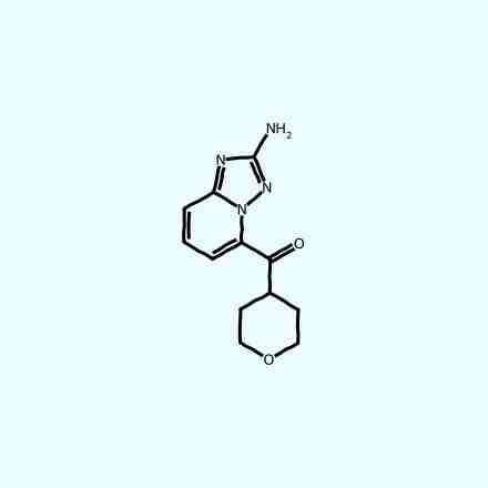 Nc1nc2cccc(C(=O)C3CCOCC3)n2n1